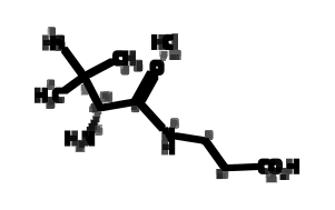 CC(C)(S)[C@@H](N)C(=O)NCCC(=O)O.Cl